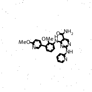 COc1ccc(-c2cccc(Nc3nc(Nc4ccccn4)ncc3C(N)=O)c2OC)cn1